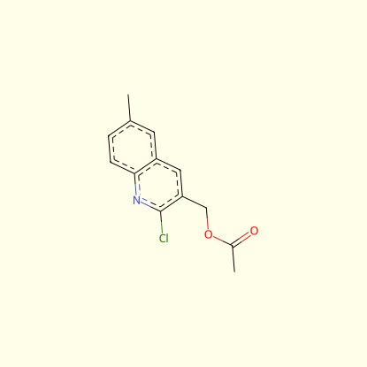 CC(=O)OCc1cc2cc(C)ccc2nc1Cl